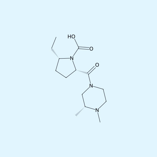 CC[C@H]1CC[C@@H](C(=O)N2CCN(C)[C@H](C)C2)N1C(=O)O